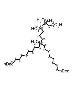 CCCCCCCCCCCCCCCCCC[N+](C)(CCCCCCCCCCCCCCCCCC)CCCS(=O)(=O)O.C[N+](C)(C)CC(=O)O